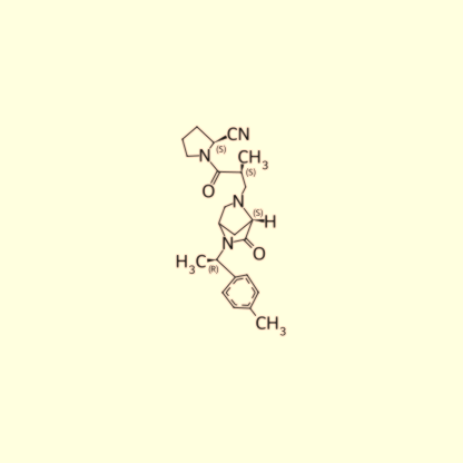 Cc1ccc([C@@H](C)N2C(=O)[C@@H]3CC2CN3C[C@H](C)C(=O)N2CCC[C@H]2C#N)cc1